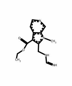 CCOC(=O)c1c(CNC=N)n(C)c2cnccc12